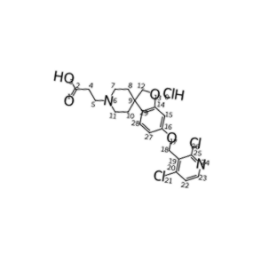 Cl.O=C(O)CCN1CCC2(CC1)COc1cc(OCc3c(Cl)ccnc3Cl)ccc12